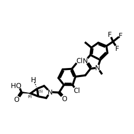 Cc1cc(C(F)(F)F)cc2c1nc(Cc1c(Cl)ccc(C(=O)N3CC4[C@@H](C(=O)O)[C@H]4C3)c1Cl)n2C